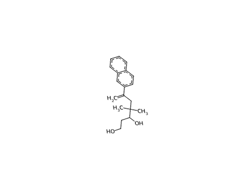 C=C(CC(C)(C)C(O)CCO)c1ccc2ccccc2c1